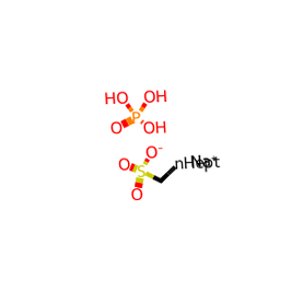 CCCCCCCCS(=O)(=O)[O-].O=P(O)(O)O.[Na+]